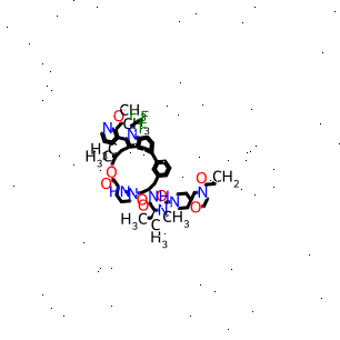 C=CC(=O)N1CCOC2(CCN(C(=O)N(C)[C@H](C(=O)N[C@H]3Cc4cccc(c4)-c4ccc5c(c4)c(c(-c4cccnc4[C@H](C)OC)n5CC(F)(F)F)CC(C)(C)COC(=O)C4CCCN(N4)C3=O)C(C)C)CC2)C1